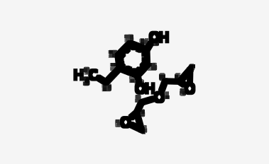 C(OCC1CO1)C1CO1.CCc1ccc(O)cc1O